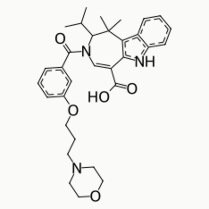 CC(C)C1N(C(=O)c2cccc(OCCCN3CCOCC3)c2)C=C(C(=O)O)c2[nH]c3ccccc3c2C1(C)C